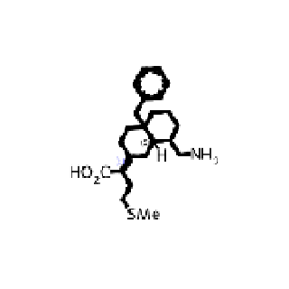 CSCC/C(C(=O)O)=C1/CCC2(Cc3ccccc3)CCCC(CN)[C@@H]2C1